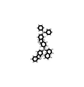 c1ccc(N(c2ccccc2)c2ccc3oc4cc(N(c5ccc6c(c5)oc5ccccc56)c5cccc6ccccc56)ccc4c3c2)cc1